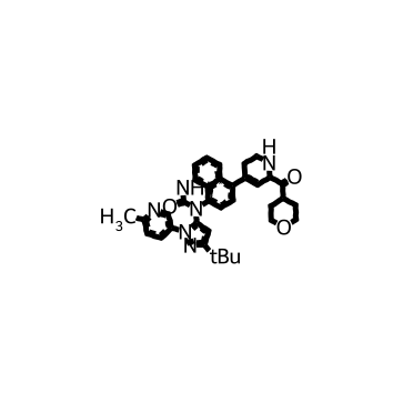 Cc1ccc(-n2nc(C(C)(C)C)cc2N(C(N)=O)c2ccc(C3=CC(C(=O)C4CCOCC4)NCC3)c3ccccc23)cn1